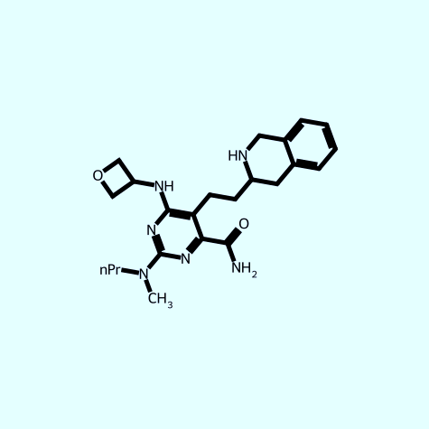 CCCN(C)c1nc(NC2COC2)c(CCC2Cc3ccccc3CN2)c(C(N)=O)n1